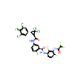 O=C(Nc1ccc(F)c(NC(=O)C(F)F)c1F)c1cc(NC(=O)C2[C@H](c3cc(Cl)c(Cl)c(Cl)c3)C2(Cl)Cl)ccc1F